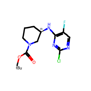 CC(C)(C)OC(=O)N1CCC[C@@H](Nc2nc(Cl)ncc2F)C1